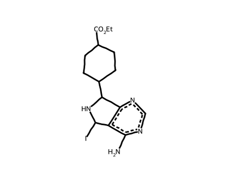 CCOC(=O)C1CCC(C2NC(I)c3c(N)ncnc32)CC1